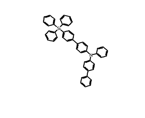 c1ccc(-c2ccc(N(c3ccccc3)c3ccc(-c4ccc([Si](c5ccccc5)(c5ccccc5)c5ccccc5)cc4)cc3)cc2)cc1